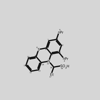 CCCc1cc(CCC)c2c(c1)Sc1ccccc1N2C(CC)S(=O)(=O)O